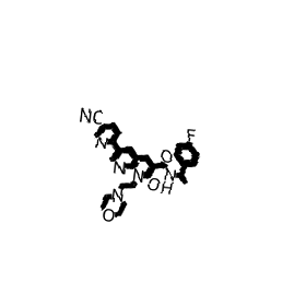 CC(NC(=O)c1cc2cc(-c3ccc(C#N)cn3)cnc2n(CCN2CCOCC2)c1=O)c1ccc(F)cc1